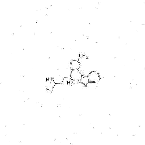 C=C(CCC(C)N)c1ccc(C)cc1-n1nnc2ccccc21